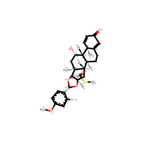 COc1ccc([C@H]2O[C@@H]3C[C@H]4[C@@H]5CCC6=CC(=O)C=C[C@]6(C)[C@H]5[C@@H](O)C[C@]4(C)[C@]3(C(=O)SC)O2)c(F)c1